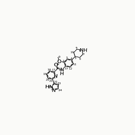 COc1cc(C2CCNCC2)ccc1NC(=O)c1cccc(-c2ccn[nH]2)n1